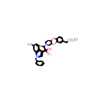 CCOC(=O)Cc1ccc(OC2CCN(C(C)C(O)(c3cn(Cc4ccccc4)c4cc([N+](=O)[O-])ccc34)C(F)(F)F)CC2)c(OC)c1